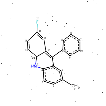 Cc1ccc2c(c1)C(c1ccccc1)=C1C=C(F)C=CC1N2